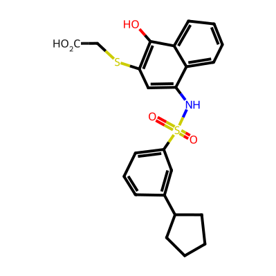 O=C(O)CSc1cc(NS(=O)(=O)c2cccc(C3CCCC3)c2)c2ccccc2c1O